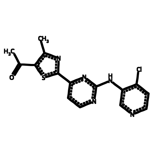 CC(=O)c1sc(-c2ccnc(Nc3cnccc3Cl)n2)nc1C